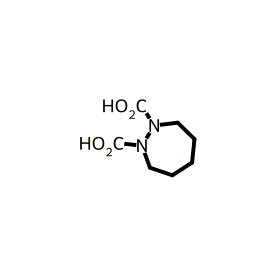 O=C(O)N1CCCCCN1C(=O)O